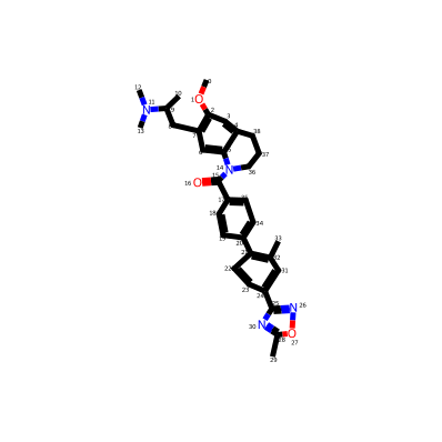 COc1cc2c(cc1CC(C)N(C)C)N(C(=O)c1ccc(-c3ccc(-c4noc(C)n4)cc3C)cc1)CCC2